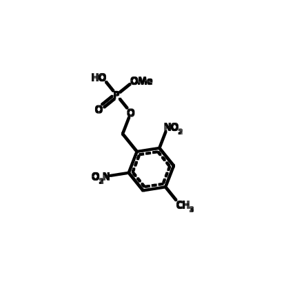 COP(=O)(O)OCc1c([N+](=O)[O-])cc(C)cc1[N+](=O)[O-]